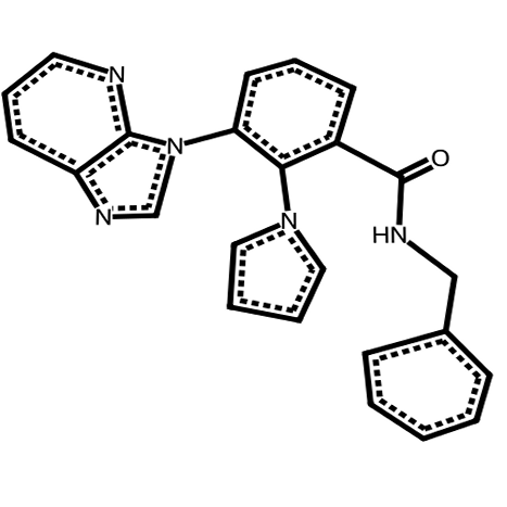 O=C(NCc1ccccc1)c1cccc(-n2cnc3cccnc32)c1-n1cccc1